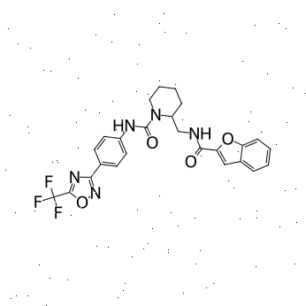 O=C(NCC1CCCCN1C(=O)Nc1ccc(-c2noc(C(F)(F)F)n2)cc1)c1cc2ccccc2o1